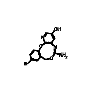 N/C1=N/c2cc(O)cnc2Oc2ccc(Br)cc2CO1